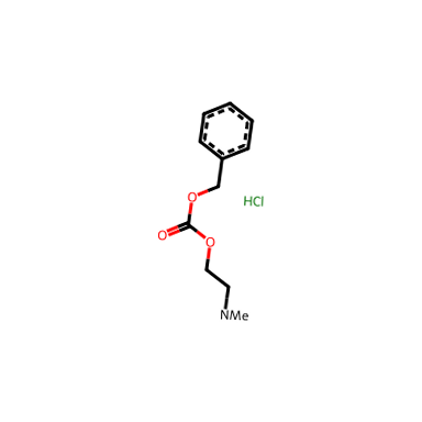 CNCCOC(=O)OCc1ccccc1.Cl